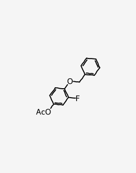 CC(=O)Oc1ccc(OCc2ccccc2)c(F)c1